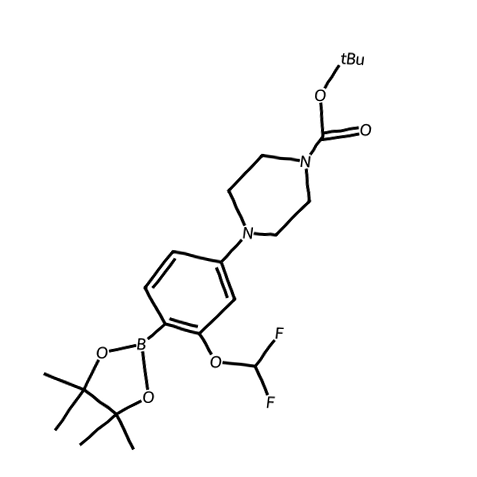 CC(C)(C)OC(=O)N1CCN(c2ccc(B3OC(C)(C)C(C)(C)O3)c(OC(F)F)c2)CC1